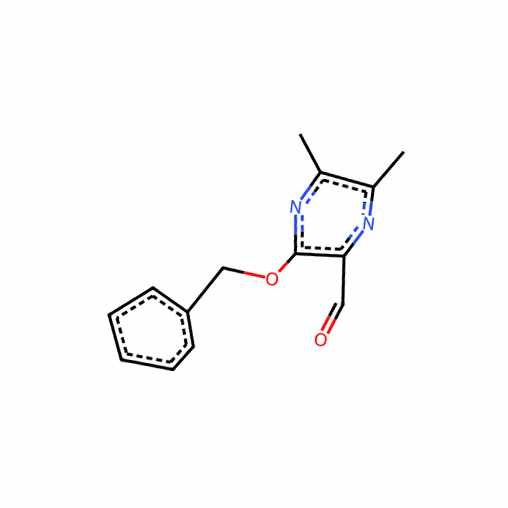 Cc1nc(C=O)c(OCc2ccccc2)nc1C